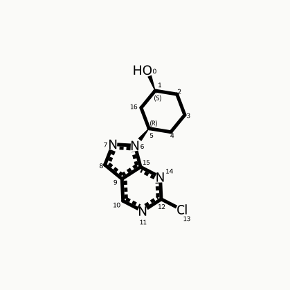 O[C@H]1CCC[C@@H](n2ncc3cnc(Cl)nc32)C1